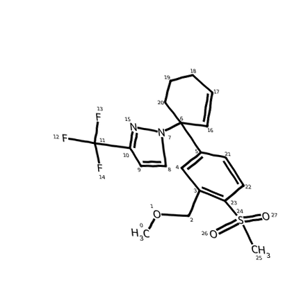 COCc1cc(C2(n3ccc(C(F)(F)F)n3)C=CCCC2)ccc1S(C)(=O)=O